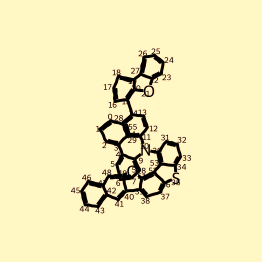 c1ccc(-c2ccccc2N(c2ccc(-c3cccc4c3oc3ccccc34)cc2)c2cccc3sc4ccc5c6cc7ccccc7cc6oc5c4c23)cc1